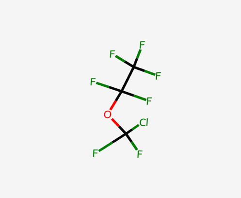 FC(F)(Cl)OC(F)(F)C(F)(F)F